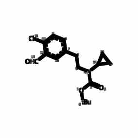 CC(C)(C)OC(=O)N(CCc1ccc(Cl)c(C=O)c1)C1CC1